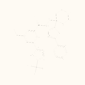 CCc1cc(C(=O)NCC2(c3nc(-c4ccccc4)cs3)CCOCC2)cc(-c2noc(C(F)(F)F)n2)c1